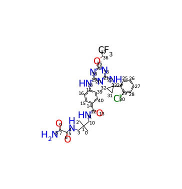 CC(C)(CNC(=O)C(N)=O)CNC(=O)c1ccc(Nc2nc(NC3(c4ccccc4Cl)CC3)nc(OCC(F)(F)F)n2)cc1